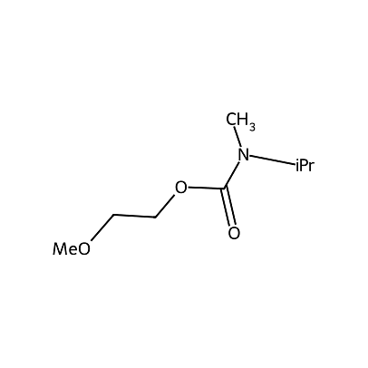 COCCOC(=O)N(C)C(C)C